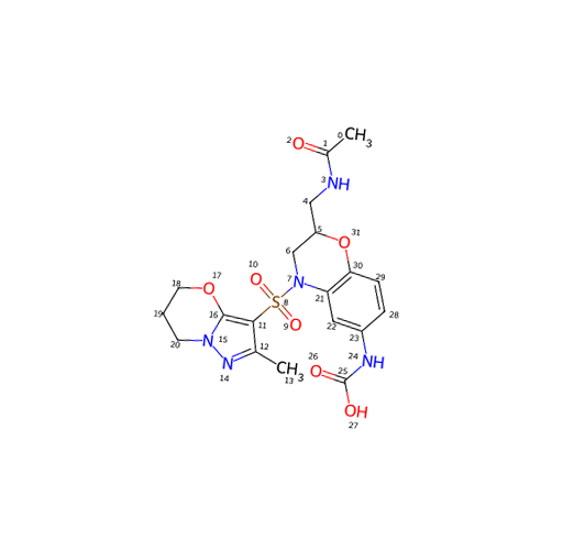 CC(=O)NCC1CN(S(=O)(=O)c2c(C)nn3c2OCCC3)c2cc(NC(=O)O)ccc2O1